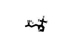 CC(N)CCc1sccc1C(F)(F)F